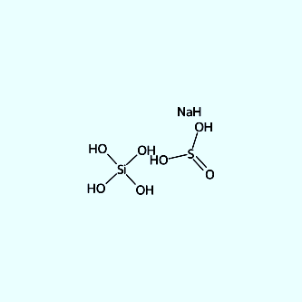 O=S(O)O.O[Si](O)(O)O.[NaH]